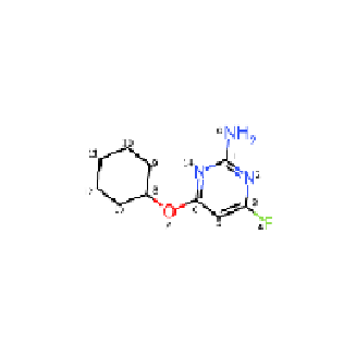 Nc1nc(F)cc(OC2CCCCC2)n1